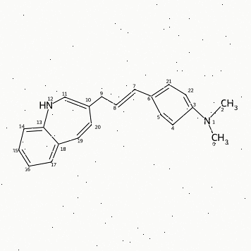 CN(C)c1ccc(C=CCC2=CNc3ccccc3C=C2)cc1